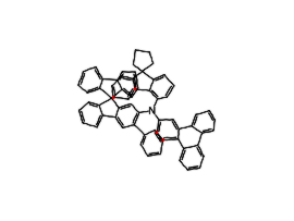 c1ccc(-c2cc3c(cc2N(c2ccc4c5ccccc5c5ccccc5c4c2)c2cccc4c2-c2ccccc2C42CCCC2)C2(c4ccccc4-c4ccccc42)c2ccccc2-3)cc1